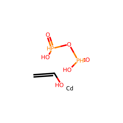 C=CO.O=[PH](O)O[PH](=O)O.[Cd]